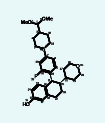 COC(OC)C1CCN(c2ccc([C@H]3c4ccc(O)cc4CC[C@H]3C3CCOCC3)c(F)c2)CC1